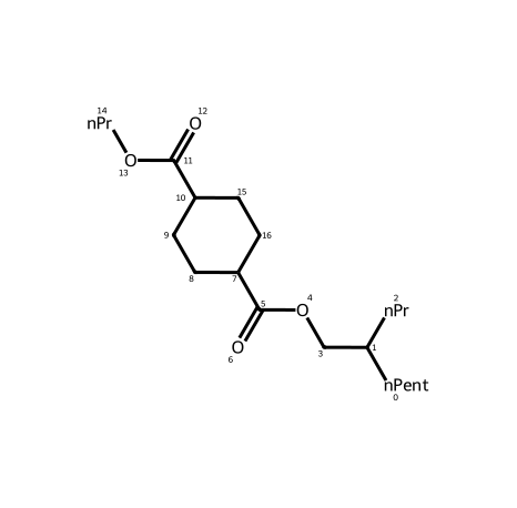 CCCCCC(CCC)COC(=O)C1CCC(C(=O)OCCC)CC1